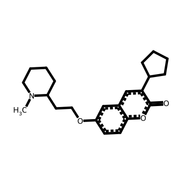 CN1CCCCC1CCOc1ccc2oc(=O)c(C3CCCC3)cc2c1